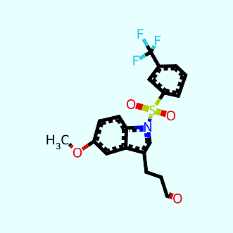 COc1ccc2c(c1)c(CCC=O)cn2S(=O)(=O)c1cccc(C(F)(F)F)c1